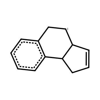 [C]1Cc2ccccc2C2CC=CC12